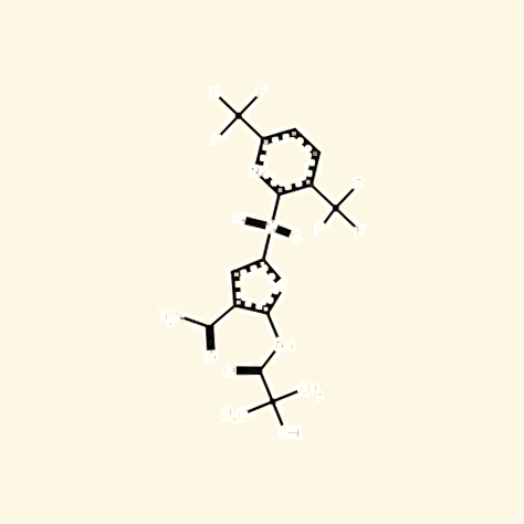 CC(C)(O)C(=O)Nc1sc(S(=O)(=O)c2nc(C(F)(F)F)ccc2C(F)(F)F)cc1C(N)=O